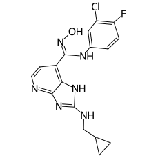 O/N=C(\Nc1ccc(F)c(Cl)c1)c1ccnc2nc(NCC3CC3)[nH]c12